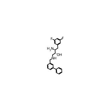 N[C@@H](Cc1cc(F)cc(F)c1)[C@H](O)CNCc1cccc(-c2ccccc2)c1